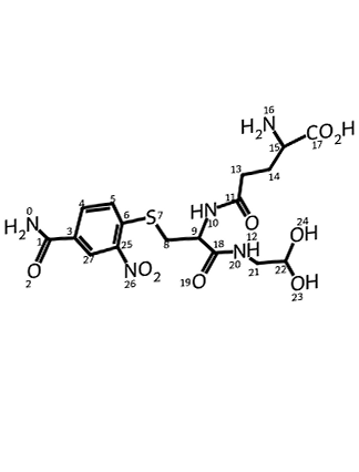 NC(=O)c1ccc(SCC(NC(=O)CCC(N)C(=O)O)C(=O)NCC(O)O)c([N+](=O)[O-])c1